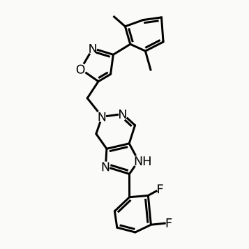 Cc1cccc(C)c1-c1cc(CN2Cc3nc(-c4cccc(F)c4F)[nH]c3C=N2)on1